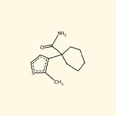 Cc1sccc1C1(C(N)=O)CCCCC1